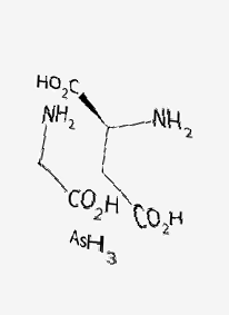 NCC(=O)O.N[C@@H](CC(=O)O)C(=O)O.[AsH3]